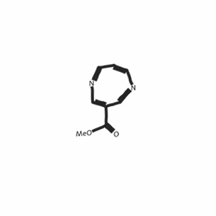 COC(=O)C1=CN=CC=CN=C1